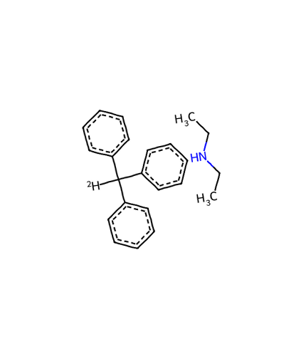 CCNCC.[2H]C(c1ccccc1)(c1ccccc1)c1ccccc1